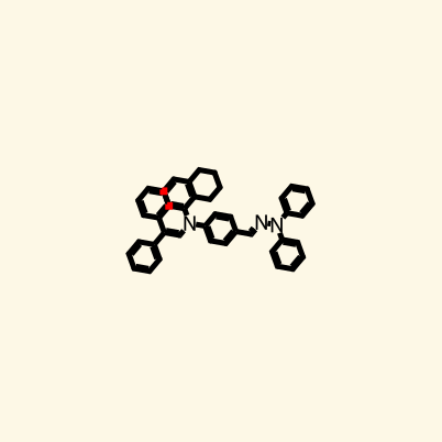 C(=C(c1ccccc1)c1ccccc1)N(c1ccc(/C=N/N(c2ccccc2)c2ccccc2)cc1)c1cccc2c1CCCC2